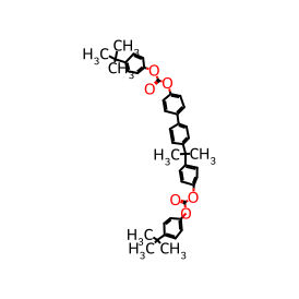 CC(C)(C)c1ccc(OC(=O)Oc2ccc(-c3ccc(C(C)(C)c4ccc(OC(=O)Oc5ccc(C(C)(C)C)cc5)cc4)cc3)cc2)cc1